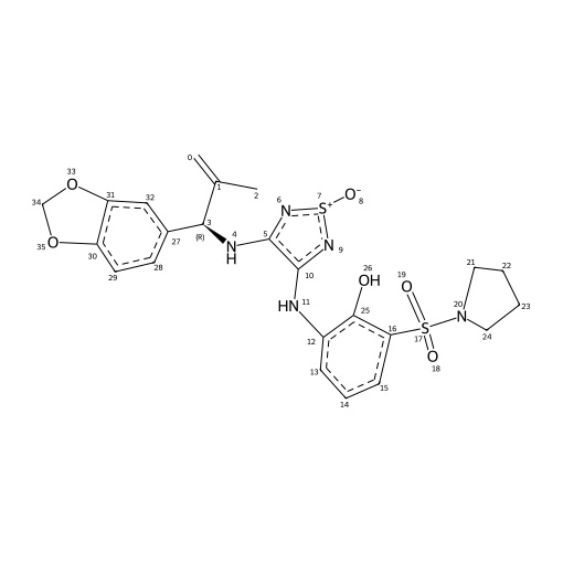 C=C(C)[C@@H](Nc1n[s+]([O-])nc1Nc1cccc(S(=O)(=O)N2CCCC2)c1O)c1ccc2c(c1)OCO2